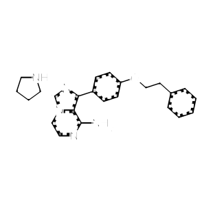 Nc1nccn2c([C@@H]3CCCN3)nc(-c3ccc(OCCc4ccccc4)cc3)c12